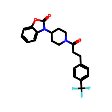 O=C(CCc1ccc(C(F)(F)F)cc1)N1CCC(n2c(=O)oc3ccccc32)CC1